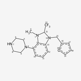 CN1c2c(N3CCNCC3)cccc2N(Cc2ccco2)C1C(F)(F)F